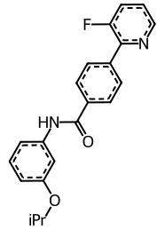 CC(C)Oc1cccc(NC(=O)c2ccc(-c3ncccc3F)cc2)c1